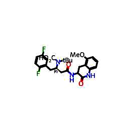 COc1cccc2c1CC(NC(=O)C[C@@H](Cc1cc(F)ccc1F)N(C(=O)O)C(C)(C)C)C(=O)N2